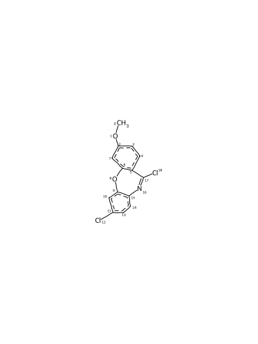 COc1ccc2c(c1)Oc1cc(Cl)ccc1N=C2Cl